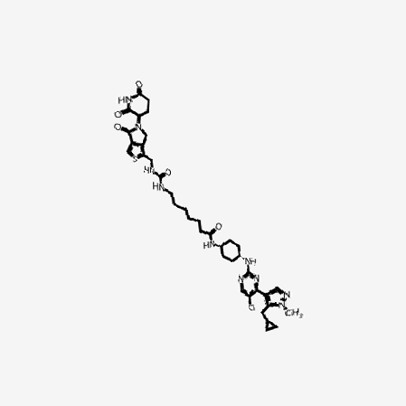 Cn1ncc(-c2nc(N[C@H]3CC[C@H](NC(=O)CCCCCCNC(=O)NCc4scc5c4CN(C4CCC(=O)NC4=O)C5=O)CC3)ncc2Cl)c1CC1CC1